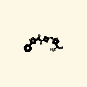 C[C@@H](O)c1cnn(C[C@H]2C[C@H](NC(=O)c3cc(-c4ccccc4)no3)C2)c1